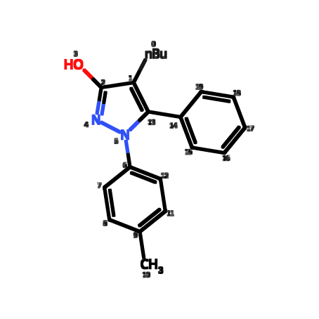 CCCCc1c(O)nn(-c2ccc(C)cc2)c1-c1ccccc1